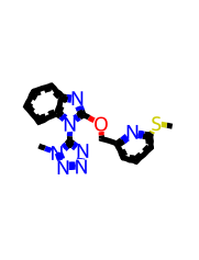 CSc1cccc(COc2nc3ccccc3n2-c2nnnn2C)n1